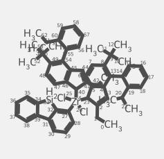 CCC1=Cc2c(ccc(C(C)(C)C)c2-c2ccccc2C(C)C)[CH]1[Zr]([Cl])([Cl])([c]1cccc2c1[SiH2]c1ccccc1-2)[CH]1C(CC)=Cc2c1ccc(C(C)(C)C)c2-c1ccccc1C(C)C